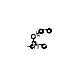 O=S(=O)(c1ccc(Oc2ccccc2)cc1)N1CCCC(c2cc(NCc3cccnc3)n3ncc(Br)c3n2)C1